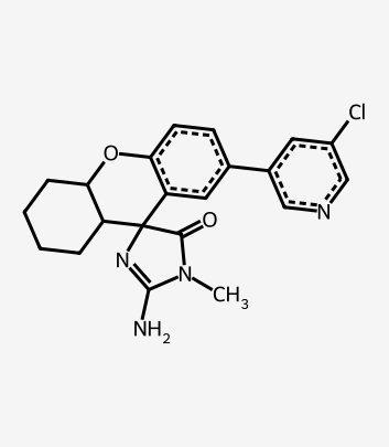 CN1C(=O)C2(N=C1N)c1cc(-c3cncc(Cl)c3)ccc1OC1CCCCC12